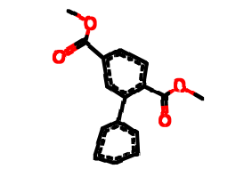 COC(=O)c1ccc(C(=O)OC)c(-c2ccccc2)c1